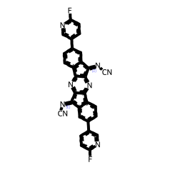 N#C/N=c1/c2cc(-c3ccc(F)nc3)ccc2c2nc3/c(=N/C#N)c4cc(-c5ccc(F)nc5)ccc4c3nc12